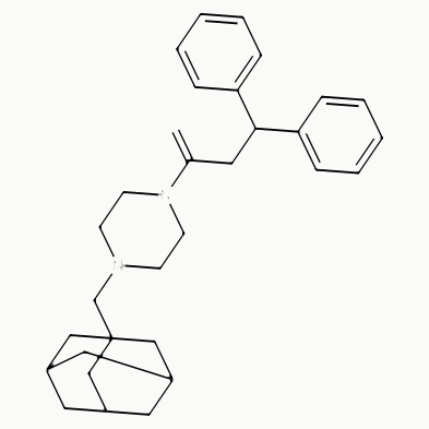 O=C(CC(c1ccccc1)c1ccccc1)N1CCN(CC23CC4CC(CC(C4)C2)C3)CC1